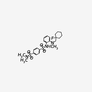 CN(CC1(F)CCCCC1)c1ccccc1NS(=O)(=O)c1ccc(S(=O)(=O)N(C)C)cc1